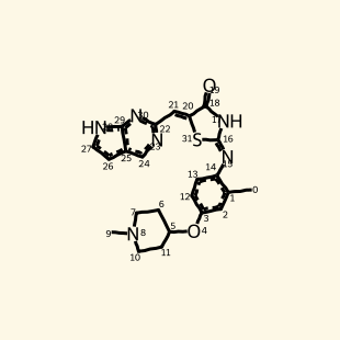 Cc1cc(OC2CCN(C)CC2)ccc1/N=C1/NC(=O)/C(=C/c2ncc3cc[nH]c3n2)S1